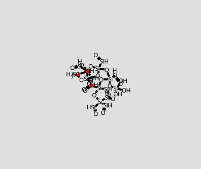 O=[SiH][Si](O[Si](O[Si](O)(O)O)(O[Si](O[Si]([SiH]=O)([SiH]=O)[SiH]=O)([SiH]=O)[SiH]=O)[SiH]=O)(O[Si](O)([SiH]=O)[SiH]=O)O[Si](O[SiH3])([SiH]=O)[SiH]=O